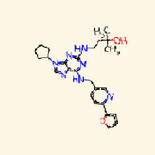 CC(C)(O)CCNc1nc(NCc2ccc(-c3ccco3)nc2)c2ncn(C3CCCC3)c2n1